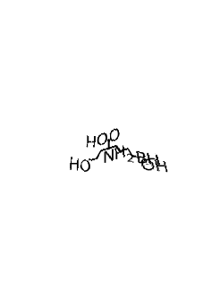 NC(CCCO)(CCCCBO)C(=O)O